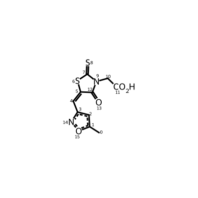 Cc1cc(/C=C2/SC(=S)N(CC(=O)O)C2=O)no1